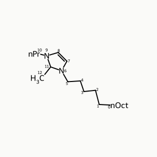 CCCCCCCCCCCCCN1C=CN(CCC)C1C